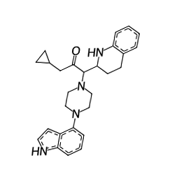 O=C(CC1CC1)C(C1CCc2ccccc2N1)N1CCN(c2cccc3[nH]ccc23)CC1